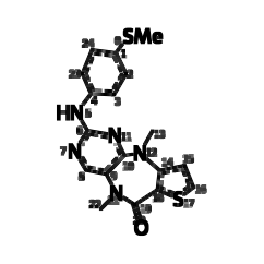 CSc1ccc(Nc2ncc3c(n2)N(C)c2ccsc2C(=O)N3C)cc1